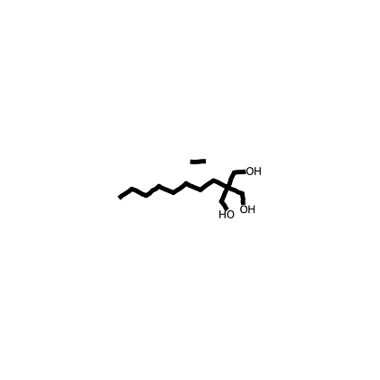 CC.CCCCCCCCC(CO)(CO)CO